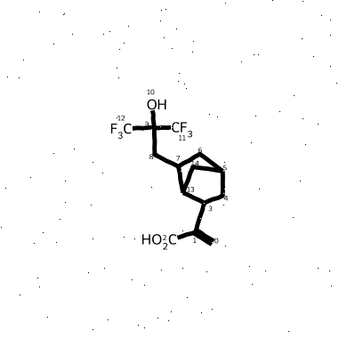 C=C(C(=O)O)C1CC2CC(CC(O)(C(F)(F)F)C(F)(F)F)C1C2